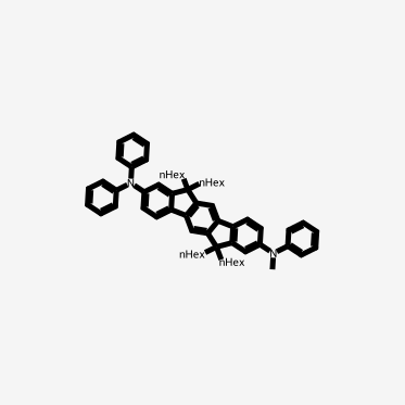 CCCCCCC1(CCCCCC)c2cc(N(C)c3ccccc3)ccc2-c2cc3c(cc21)-c1ccc(N(c2ccccc2)c2ccccc2)cc1C3(CCCCCC)CCCCCC